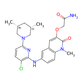 C[C@@H]1C[C@H](C)CN(c2ccc(Cl)c(Nc3ccc4c(c3)cc(OCC(N)=O)c(=O)n4C)n2)C1